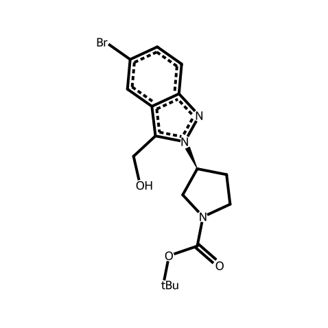 CC(C)(C)OC(=O)N1CC[C@H](n2nc3ccc(Br)cc3c2CO)C1